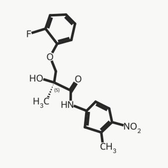 Cc1cc(NC(=O)[C@@](C)(O)COc2ccccc2F)ccc1[N+](=O)[O-]